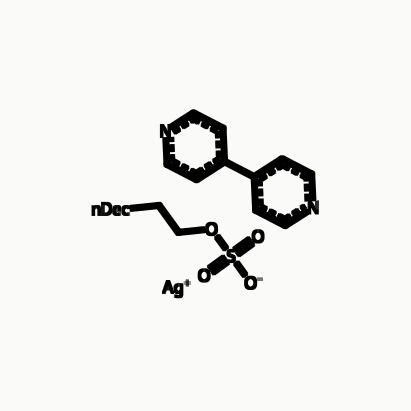 CCCCCCCCCCCCOS(=O)(=O)[O-].[Ag+].c1cc(-c2ccncc2)ccn1